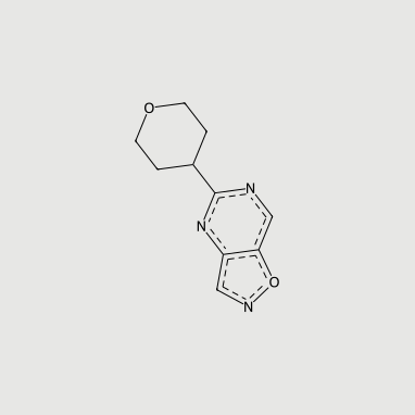 c1noc2cnc(C3CCOCC3)nc12